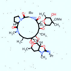 CC[C@H](C)[C@H]1NC(=O)C(C)C(O[C@H]2C[C@@](C)(OC)[C@@H](O)[C@H](C)O2)[C@H](C)[C@@H](O[C@@H]2O[C@H](C)CC3[C@H]2O/C(=N/C(C)C)N3C)[C@](C)(O)C[C@@H](C)CN(C)C(=O)[C@@H]2CCCN2C1=O